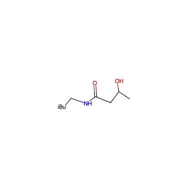 CCC(C)CNC(=O)CC(C)O